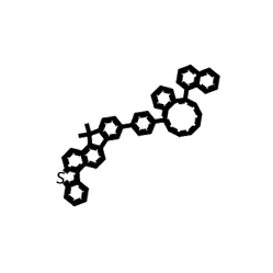 CC1(C)c2ccc(-c3ccc(-c4ccccccc(-c5cccc6ccccc56)c5ccccc45)cc3)cc2-c2ccc3c(ccc4sc5ccccc5c43)c21